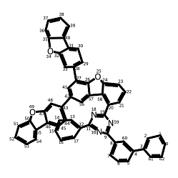 c1ccc(-c2cccc(-c3nc(-c4ccccc4)nc(-c4cccc5oc6c(-c7ccc8c(c7)oc7ccccc78)cc(-c7ccc8c(c7)oc7ccccc78)cc6c45)n3)c2)cc1